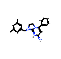 Cc1cc(C)cc(CN2CCn3c(-c4ccccc4)cc(=N)nc32)c1